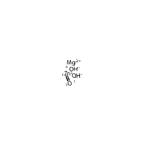 [Mg+2].[OH-].[OH-].[O]=[Zn]